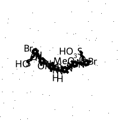 COc1cc(N=Nc2ccc(Br)cc2OCCCSO)ccc1N=Nc1cc(C)c(NC(=O)Nc2cc(C)c(N=Nc3ccc(N=Nc4ccc(Br)cc4OCCCS(=O)(=O)O)cc3OC)cc2C)cc1C